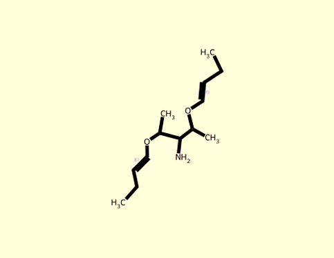 CC/C=C/OC(C)C(N)C(C)O/C=C/CC